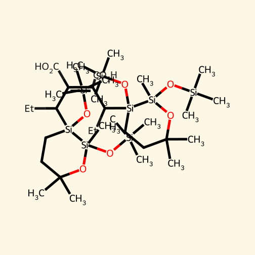 CCC(C(C(=O)O)=C(C(=O)O)C(CC)[Si]1(O[Si](C)(C)C)CCC(C)(C)O[Si]1(C)O[Si](C)(C)C)[Si]1(O[Si](C)(C)C)CCC(C)(C)O[Si]1(C)O[Si](C)(C)C